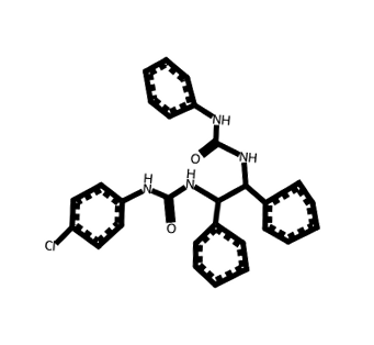 O=C(Nc1ccccc1)NC(c1ccccc1)C(NC(=O)Nc1ccc(Cl)cc1)c1ccccc1